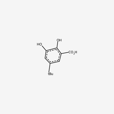 CC(C)(C)c1cc(O)c(O)c(C(=O)O)c1